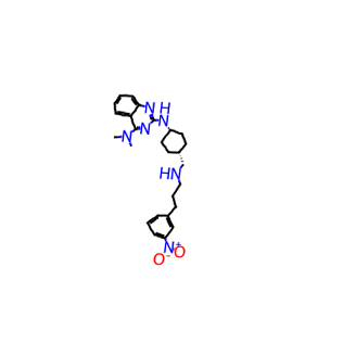 CN(C)c1nc(N[C@H]2CC[C@@H](CNCCCc3cccc([N+](=O)[O-])c3)CC2)nc2ccccc12